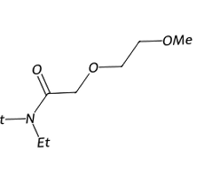 CCN(CC)C(=O)COCCOC